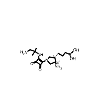 CC(C)(CN)Nc1c(N2C[C@H](CCCB(O)O)[C@@](C)(N)C2)c(=O)c1=O